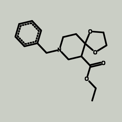 CCOC(=O)C1CN(Cc2ccccc2)CCC12OCCO2